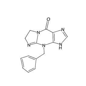 O=C1c2nc[nH]c2N(Cc2ccccc2)C2=NCCN12